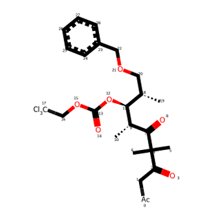 CC(=O)CC(=O)C(C)(C)C(=O)[C@H](C)[C@@H](OC(=O)OCC(Cl)(Cl)Cl)[C@@H](C)COCc1ccccc1